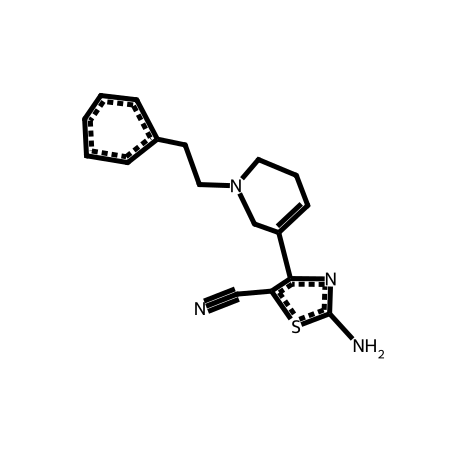 N#Cc1sc(N)nc1C1=CCCN(CCc2ccccc2)C1